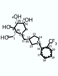 OC[C@@H]1[C@@H](O)[C@H](O)[C@@H](O)CN1C[C@H]1CCN(c2ccccc2C(F)(F)F)C1